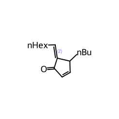 CCCCCC/C=C1\C(=O)C=CC1CCCC